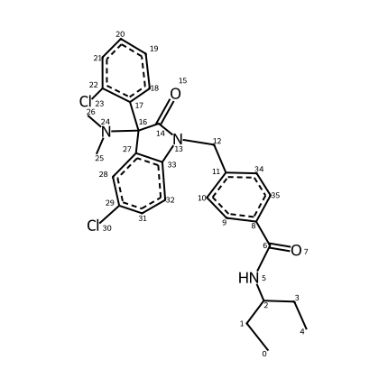 CCC(CC)NC(=O)c1ccc(CN2C(=O)C(c3ccccc3Cl)(N(C)C)c3cc(Cl)ccc32)cc1